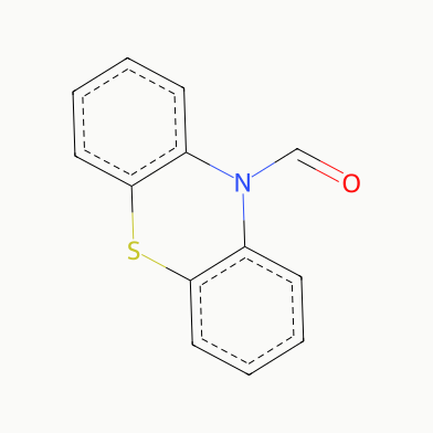 O=CN1c2ccccc2Sc2ccccc21